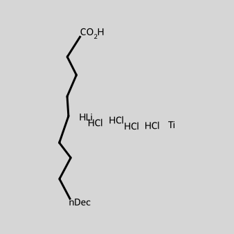 CCCCCCCCCCCCCCCCCC(=O)O.Cl.Cl.Cl.Cl.[LiH].[Ti]